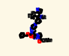 CCn1c(-c2cccnc2C(C)C)c(CC(C)(C)CC)c2cc(N3CCC[C@@H](C[C@H](NC(=O)OCc4ccccc4)C(=O)N4CCC[C@@H](C(=O)OC)N4)C3)ccc21